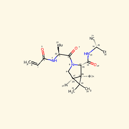 C=CC(=O)N[C@H](C(=O)N1C[C@H]2[C@@H]([C@H]1C(=O)N[C@H](C#N)CC)C2(C)C)C(C)(C)C